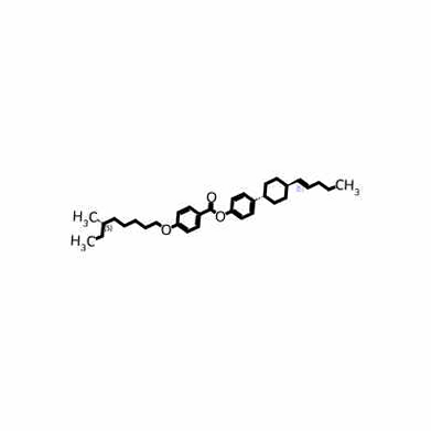 CCC/C=C/[C@H]1CC[C@H](c2ccc(OC(=O)c3ccc(OCCCCC[C@@H](C)CC)cc3)cc2)CC1